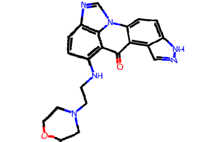 O=c1c2c(NCCN3CCOCC3)ccc3ncn(c4ccc5[nH]ncc5c14)c32